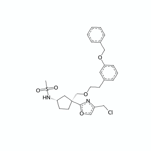 CS(=O)(=O)N[C@H]1CC[C@](COCCc2cccc(OCc3ccccc3)c2)(c2nc(CCl)co2)C1